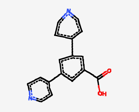 O=C(O)c1cc(-c2ccncc2)cc(-c2ccncc2)c1